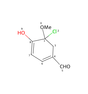 COC1(Cl)CC(C=O)=CC=C1O